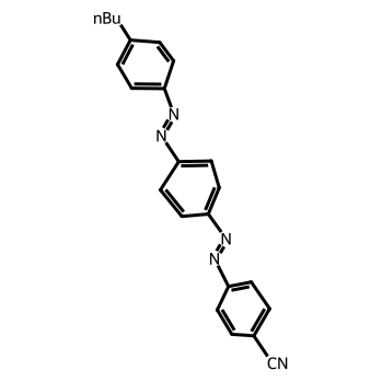 CCCCc1ccc(N=Nc2ccc(N=Nc3ccc(C#N)cc3)cc2)cc1